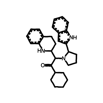 O=C(C1CCCCC1)C(C1CCc2ccccc2N1)N1CCCC1c1cc2ccccc2[nH]1